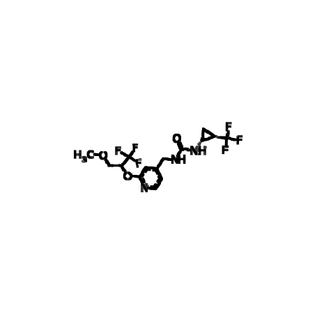 COCC(Oc1cc(CNC(=O)N[C@@H]2C[C@H]2C(F)(F)F)ccn1)C(F)(F)F